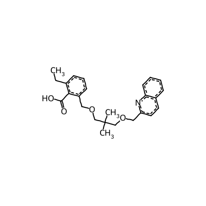 CCc1cccc(COCC(C)(C)COCc2ccc3ccccc3n2)c1C(=O)O